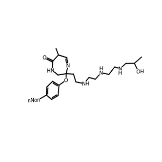 CCCCCCCCCc1ccc(OC2(CCNCCNCCNCC(C)O)CNC(=O)C(C)C=N2)cc1